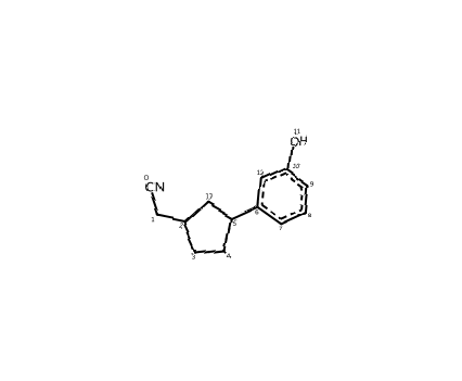 N#CCC1CCC(c2cccc(O)c2)C1